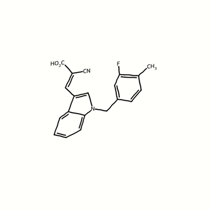 Cc1ccc(Cn2cc(/C=C(\C#N)C(=O)O)c3ccccc32)cc1F